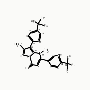 Cc1nn2c(=O)cc(-c3ccc(C(F)(F)F)nc3)n(C)c2c1-c1ccc(C(F)(F)F)cc1